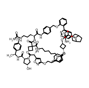 CC(C)[C@@H](C(=O)N1C[C@H](O)C[C@H]1C(=O)N[C@@H](C)c1ccc(C#N)cc1)c1cc(OCCN2CCC(O[C@H]3C[C@H](Oc4cc(N5C6CCC5CN(c5cc(-c7ccccc7OCc7ccc(NC(=O)[C@H](CCCNC(N)=O)NC(=O)C8(C(=O)NCCCCCN9C(=O)C=CC9=O)CCC8)cc7)nnc5N)C6)ccn4)C3)CC2)no1